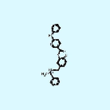 C[C@@H](NCc1ccc(Cl)c(NC(=O)c2ccc(Nc3ccccc3)nc2)c1)c1ccccc1